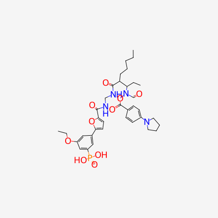 CCCCCC(C(=O)NCNC(=O)c1ccc(-c2cc(OCC)cc(P(=O)(O)O)c2)o1)C(CC)N(C=O)OC(=O)c1ccc(N2CCCC2)cc1